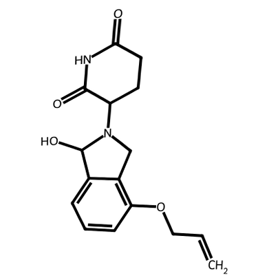 C=CCOc1cccc2c1CN(C1CCC(=O)NC1=O)C2O